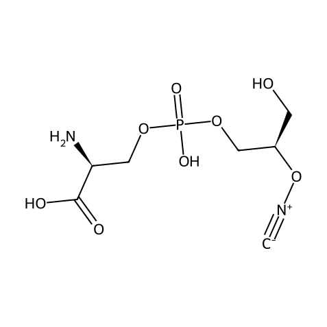 [C-]#[N+]O[C@H](CO)COP(=O)(O)OC[C@H](N)C(=O)O